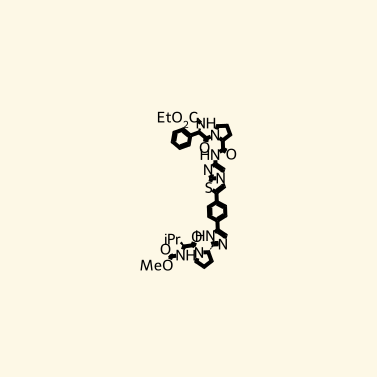 CCOC(=O)N[C@@H](C(=O)N1CCCC1C(=O)Nc1cn2cc(-c3ccc(-c4cnc([C@@H]5CCCN5C(=O)[C@@H](NC(=O)OC)C(C)C)[nH]4)cc3)sc2n1)c1ccccc1